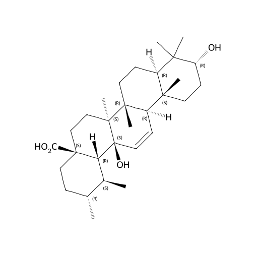 C[C@H]1[C@H](C)CC[C@]2(C(=O)O)CC[C@]3(C)[C@](O)(C=C[C@@H]4[C@@]5(C)CC[C@@H](O)C(C)(C)[C@@H]5CC[C@]43C)[C@H]12